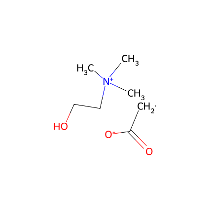 C[N+](C)(C)CCO.[CH2]C(=O)[O-]